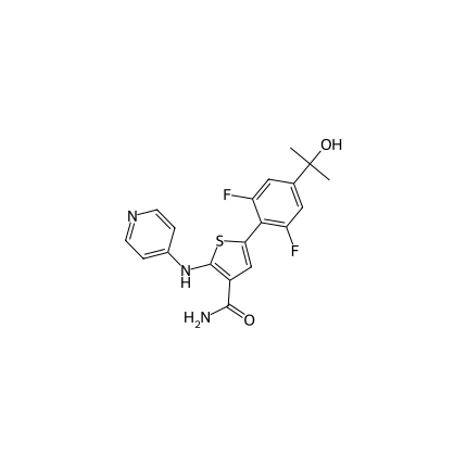 CC(C)(O)c1cc(F)c(-c2cc(C(N)=O)c(Nc3ccncc3)s2)c(F)c1